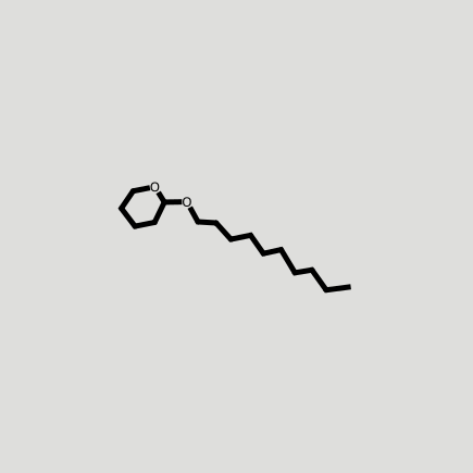 CCCCCCCCCCOC1CCCCO1